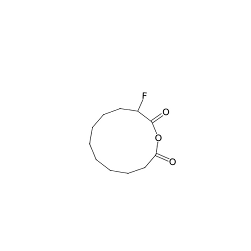 O=C1CCCCCCCCC(F)C(=O)O1